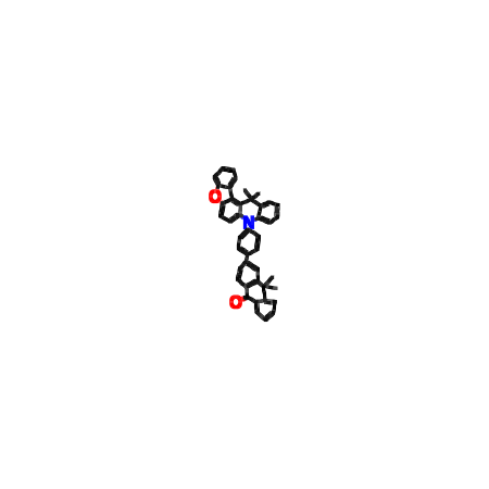 CC1(C)c2ccccc2C(=O)c2ccc(-c3ccc(N4c5ccccc5C(C)(C)c5c4ccc4oc6ccccc6c54)cc3)cc21